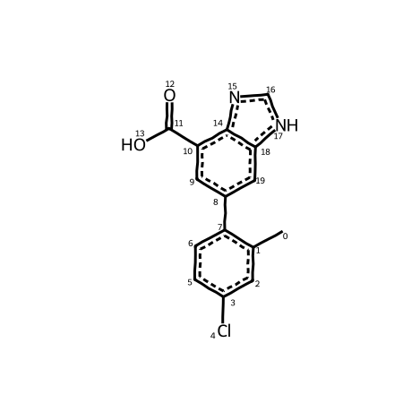 Cc1cc(Cl)ccc1-c1cc(C(=O)O)c2nc[nH]c2c1